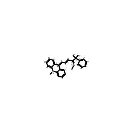 CN1c2ccccc2C(=C/C=C/C2=[N+](C)c3ccccc3C2(C)C)c2ccccc21